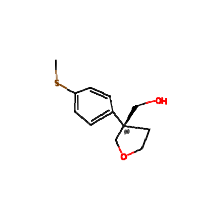 CSc1ccc([C@]2(CO)CCOC2)cc1